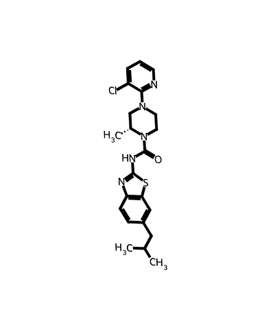 CC(C)Cc1ccc2nc(NC(=O)N3CCN(c4ncccc4Cl)C[C@H]3C)sc2c1